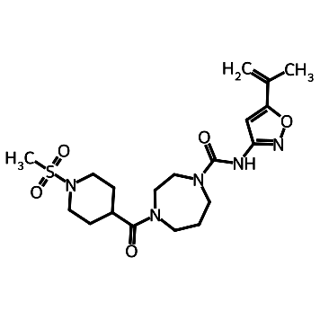 C=C(C)c1cc(NC(=O)N2CCCN(C(=O)C3CCN(S(C)(=O)=O)CC3)CC2)no1